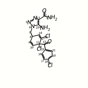 NC(=O)c1nnn(CC2C=CC(Cl)(C(=O)c3ccc(Cl)cc3)C(Cl)=C2)c1N